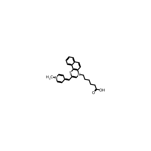 CN1C=CC(=CC2=CN(CCCCCC(=O)O)c3ccc4ccccc4c3S2)C=C1